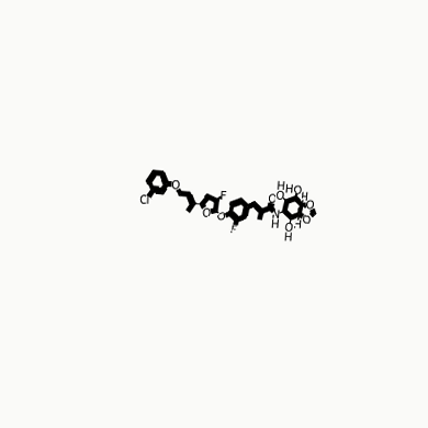 C/C(=C\c1ccc(O[C@@H]2O[C@H](/C(C)=C/COc3cccc(Cl)c3)C[C@H]2F)c(F)c1)C(=O)N[C@@H]1[C@H](O)[C@@H](O)[C@H]2OCO[C@H]2[C@@H]1O